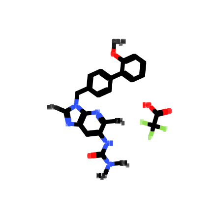 CCCc1nc2cc(NC(=O)N(C)C)c(C)nc2n1Cc1ccc(-c2ccccc2OC(=O)O)cc1.O=C(O)C(F)(F)F